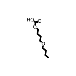 CCCCOCCCCOC(=O)O